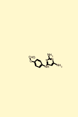 Nc1cc(Nc2ccc(OC=O)cc2)nc(N)n1